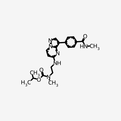 CNC(=O)c1ccc(-c2cnn3ccc(NCCN(C)C(=O)OC(C)C)nc23)cc1